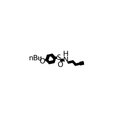 C#CCCCNC(=O)Sc1ccc(OCCCC)cc1